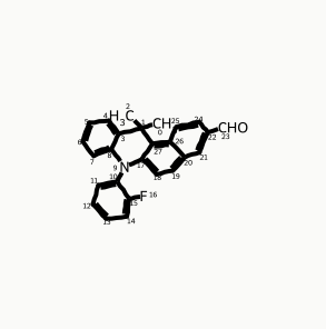 CC1(C)c2ccccc2N(c2ccccc2F)c2ccc3cc(C=O)ccc3c21